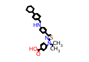 CC(C)N(c1ccc(C(=O)O)cc1)c1nc(-c2ccc(NCc3ccc(C4CCCCC4)cc3)cc2)cs1